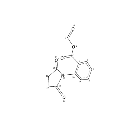 O=COC(=O)c1ccccc1N1C(=O)CCC1=O